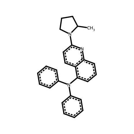 CC1CCCN1c1ccc2c(N(c3ccccc3)c3ccccc3)cccc2n1